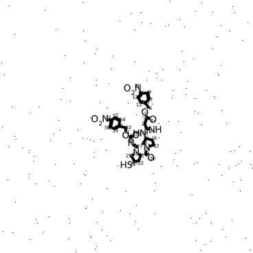 N=C(CC(=O)OCc1ccc([N+](=O)[O-])cc1)N[C@H]1CCN(C(=O)[C@@H]2C[C@H](S)CN2C=NC(=O)OCc2ccc([N+](=O)[O-])cc2)C1